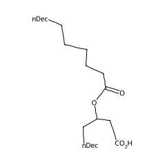 CCCCCCCCCCCCCCCC(=O)OC(CCCCCCCCCCC)CC(=O)O